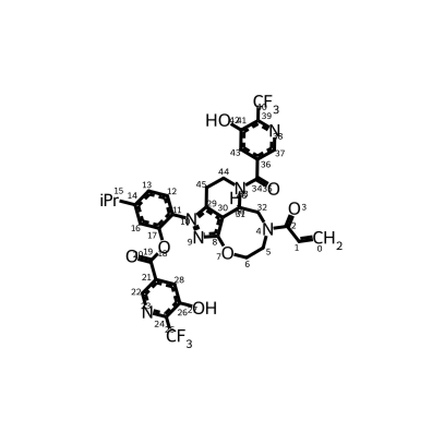 C=CC(=O)N1CCOc2nn(-c3ccc(C(C)C)cc3OC(=O)c3cnc(C(F)(F)F)c(O)c3)c3c2[C@H](C1)N(C(=O)c1cnc(C(F)(F)F)c(O)c1)CC3